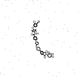 CC1(C)C(NC(=O)c2ccc(N3CC[C@@H](CN4CCN(c5ccc6c(c5)C(=O)N(C5CCC(=O)NC5=O)C6=O)CC4)C3)cc2)C(C)(C)C1Oc1ccc(C#N)c(Cl)c1